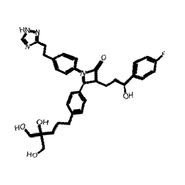 O=C1C(CC[C@H](O)c2ccc(F)cc2)[C@@H](c2ccc(CCCC(O)(CO)CO)cc2)N1c1ccc(CCc2nc[nH]n2)cc1